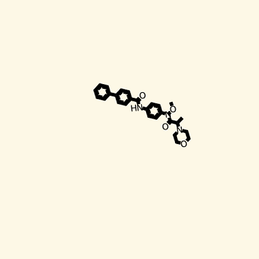 CON(C(=O)C(C)N1CCOCC1)c1ccc(NC(=O)c2ccc(-c3ccccc3)cc2)cc1